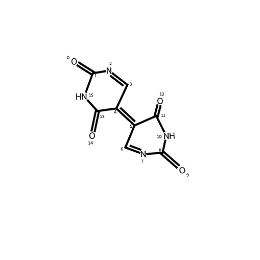 O=C1N=CC(=C2C=NC(=O)NC2=O)C(=O)N1